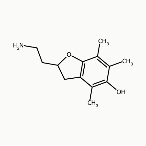 Cc1c(C)c2c(c(C)c1O)CC(CCN)O2